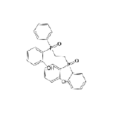 O=P(CCP(=O)(c1ccccc1)c1ccccc1O)(c1ccccc1)c1ccccc1O